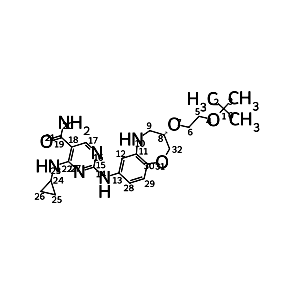 CC(C)(C)OCCO[C@H]1CNc2cc(Nc3ncc(C(N)=O)c(NC4CC4)n3)ccc2OC1